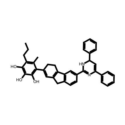 CCCc1c(C)c(C2=CC3=C(CC2)c2cc(C4=NC(c5ccccc5)=CC(c5ccccc5)N4)ccc2C3)c(O)c(O)c1O